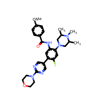 COc1ccc(C(=O)Nc2cc(-c3cnc(N4CCOCC4)nc3)c(F)cc2N2CC(C)N(C)C(C)C2)cc1